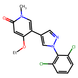 CCOc1cc(=O)n(C)cc1-c1cnn(-c2c(Cl)cccc2Cl)c1